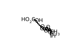 CC(C)CCCC(C)C1CCC2C3C(=O)C=C4CC(OC(=O)CCCCCCCC(O)CCC(=O)O)CCC4(C)C3CCC12C